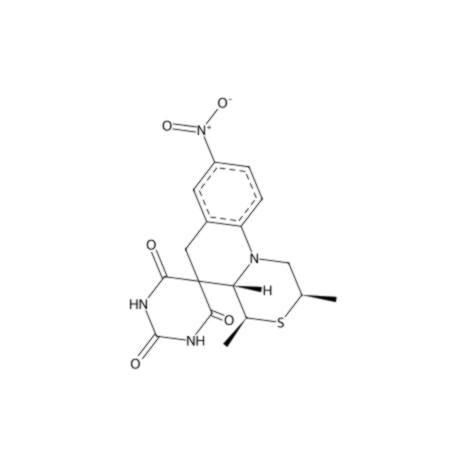 C[C@@H]1CN2c3ccc([N+](=O)[O-])cc3CC3(C(=O)NC(=O)NC3=O)[C@H]2[C@H](C)S1